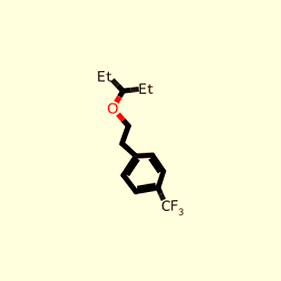 CCC(CC)OCCc1ccc(C(F)(F)F)cc1